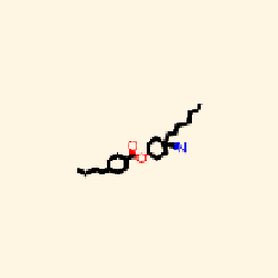 CCCCCCCC1(C#N)CCC(OC(=O)C2CCC(CCCC)CC2)CC1